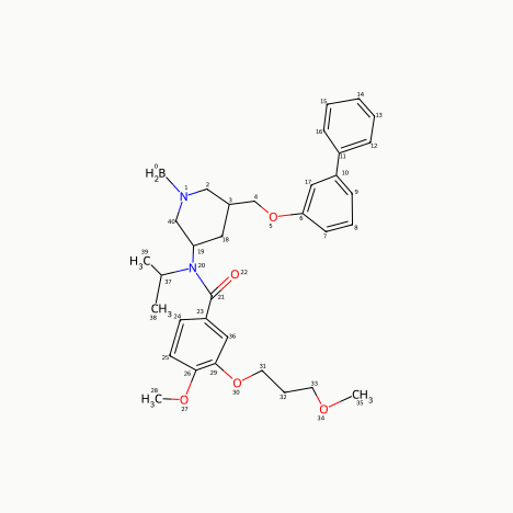 BN1CC(COc2cccc(-c3ccccc3)c2)CC(N(C(=O)c2ccc(OC)c(OCCCOC)c2)C(C)C)C1